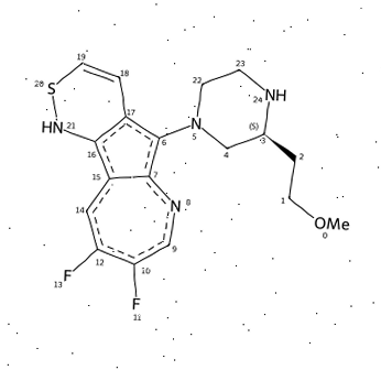 COCC[C@H]1CN(c2c3ncc(F)c(F)cc-3c3c2C=CSN3)CCN1